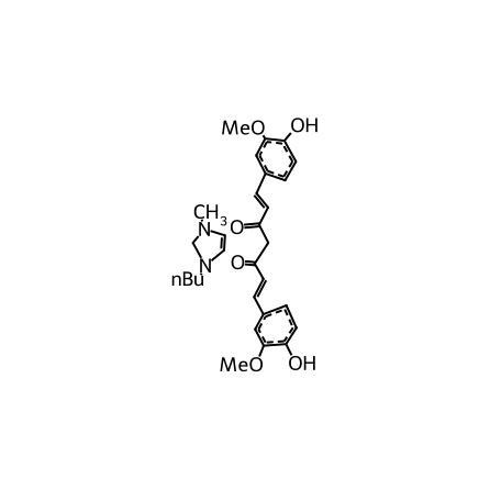 CCCCN1C=CN(C)C1.COc1cc(/C=C/C(=O)CC(=O)/C=C/c2ccc(O)c(OC)c2)ccc1O